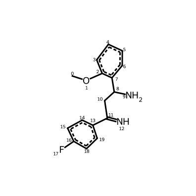 COc1ccccc1C(N)CC(=N)c1ccc(F)cc1